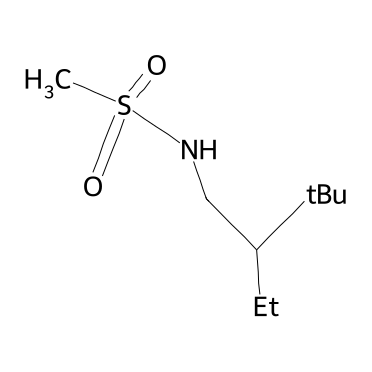 CCC(CNS(C)(=O)=O)C(C)(C)C